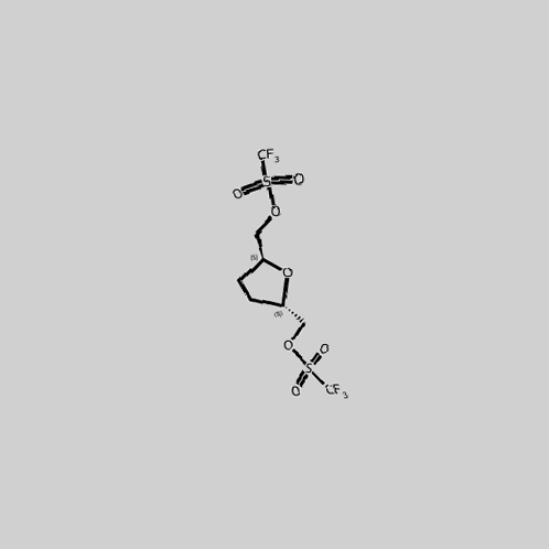 O=S(=O)(OC[C@@H]1CC[C@@H](COS(=O)(=O)C(F)(F)F)O1)C(F)(F)F